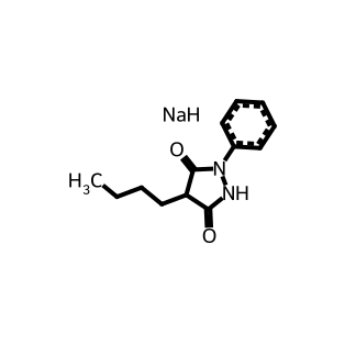 CCCCC1C(=O)NN(c2ccccc2)C1=O.[NaH]